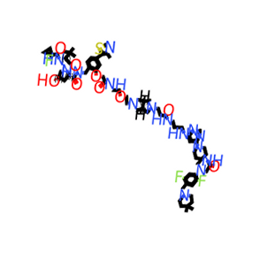 Cc1ncsc1-c1ccc(CNC(=O)[C@@H]2C[C@@H](O)CN2C(=O)[C@@H](NC(=O)C2(F)CC2)C(C)(C)C)c(OCC(=O)NCCOCCN2C[C@@H]3CN(CCC(=O)NCCCNc4cc(N5CCC6(CC5)CN(c5cc(F)c(CN7CCC(C)(C)CC7)cc5F)CC(=O)N6)ncn4)C[C@@H]3C2)c1